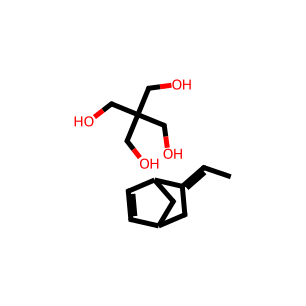 CC=C1CC2C=CC1C2.OCC(CO)(CO)CO